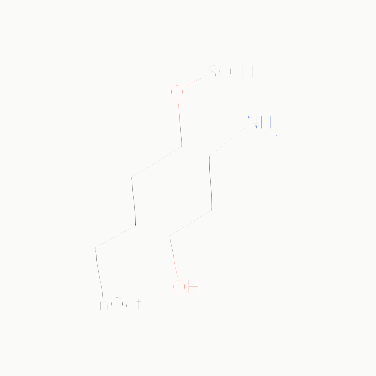 CCCCCCCCCCCCOS(=O)(=O)O.NCCCO